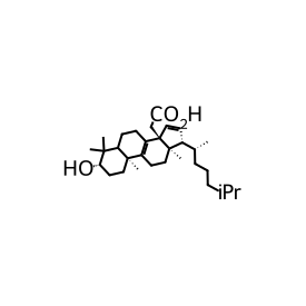 CC(C)CCC[C@@H](C)[C@H]1C=C[C@@]2(CC(=O)O)C3=C(CC[C@]12C)[C@@]1(C)CC[C@H](O)C(C)(C)C1CC3